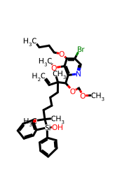 C=CC(C)(CCCCC(C)(C)[Si](O)(c1ccccc1)c1ccccc1)C(OCOC)c1ncc(Br)c(OCCCC)c1OC